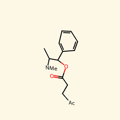 CNC(C)C(OC(=O)CCC(C)=O)c1ccccc1